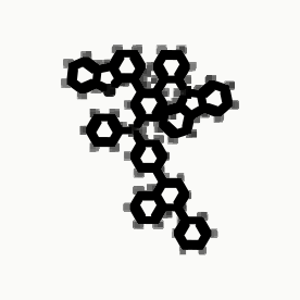 c1ccc(-c2ccc(-c3ccc(N(c4ccccc4)c4ccc(-c5ccccc5-n5c6ccccc6c6ccccc65)c(-c5cccc6c5oc5ccccc56)c4)cc3)c3ccccc23)cc1